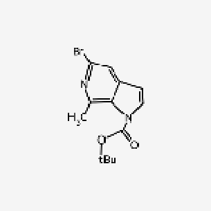 Cc1nc(Br)cc2ccn(C(=O)OC(C)(C)C)c12